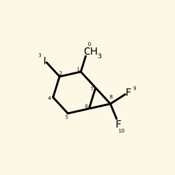 CC1C(I)CCC2C1C2(F)F